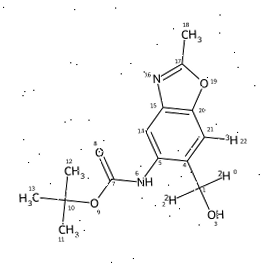 [2H]C([2H])(O)c1c(NC(=O)OC(C)(C)C)cc2nc(C)oc2c1[3H]